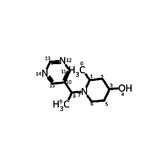 CC1CC(O)CCN1C(C)c1cncnc1